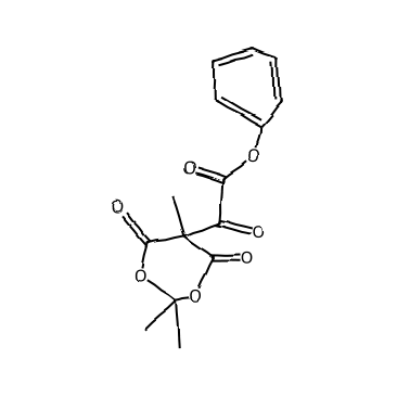 CC1(C)OC(=O)C(C)(C(=O)C(=O)Oc2ccccc2)C(=O)O1